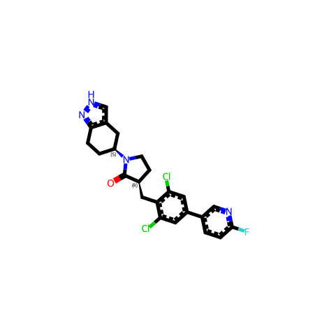 O=C1[C@H](Cc2c(Cl)cc(-c3ccc(F)nc3)cc2Cl)CCN1[C@H]1CCc2n[nH]cc2C1